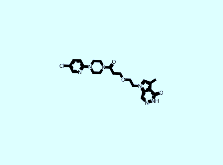 Cc1cn(CCOCCC(=O)N2CCN(c3ccc(Cl)cn3)CC2)c2cn[nH]c(=O)c12